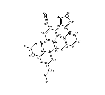 CCOc1cc(OC(C)C)c(F)c(N(Cc2cccc(-c3ccoc3)n2)c2ccc(C#N)cc2)c1